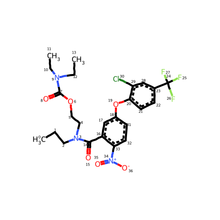 CCCN(CCOC(=O)N(CC)CC)C(=O)c1cc(Oc2ccc(C(F)(F)F)cc2Cl)ccc1[N+](=O)[O-]